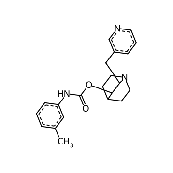 Cc1cccc(NC(=O)OC2C3CCN(CC3)C2Cc2cccnc2)c1